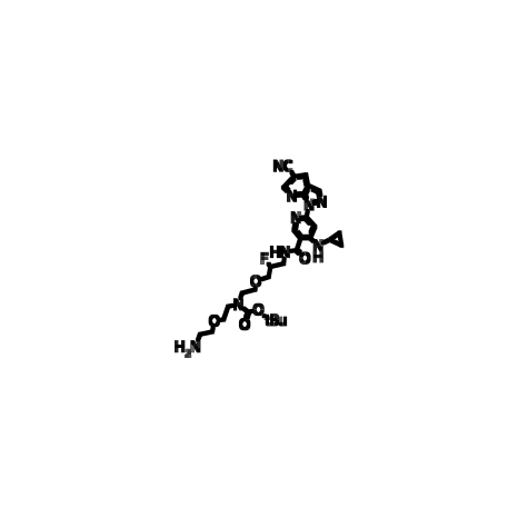 CC(C)(C)OC(=O)N(CCOCCN)CCOCC(F)CNC(=O)c1cnc(-n2ncc3cc(C#N)cnc32)cc1NC1CC1